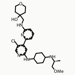 COC[C@H](C)NC1CCC(Nc2cc(-c3cccc(NCC4(O)CCOCC4)n3)c(Cl)cn2)CC1